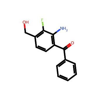 Nc1c(C(=O)c2ccccc2)ccc(CO)c1F